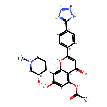 CN1CC[C@H](c2c(O)cc(OC(=O)C(F)(F)F)c3c(=O)cc(-c4ccc(-c5nnn[nH]5)cc4)oc23)[C@H](O)C1